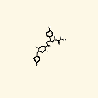 CCNC(=O)NCC(CC(=O)N1C[C@H](C)N(Cc2ccc(F)cc2)C[C@H]1C)c1ccc(Cl)cc1